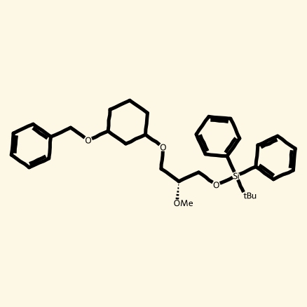 CO[C@H](COC1CCCC(OCc2ccccc2)C1)CO[Si](c1ccccc1)(c1ccccc1)C(C)(C)C